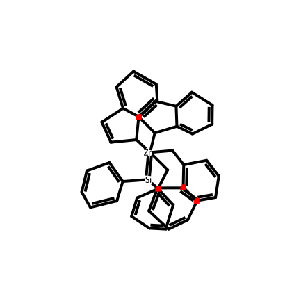 C1=C[CH]([Zr]([CH2]c2ccccc2)([CH2]c2ccccc2)([CH]2C=Cc3ccccc32)=[Si](c2ccccc2)c2ccccc2)c2ccccc21